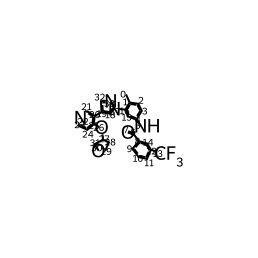 Cc1ccc(NC(=O)c2cccc(C(F)(F)F)c2)cc1-n1cc(-c2cnccc2OC2CCOC2)cn1